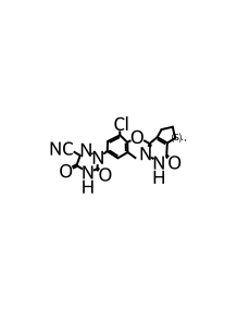 Cc1cc(-n2nc(C#N)c(=O)[nH]c2=O)cc(Cl)c1Oc1n[nH]c(=O)c2c1CC[C@@H]2C